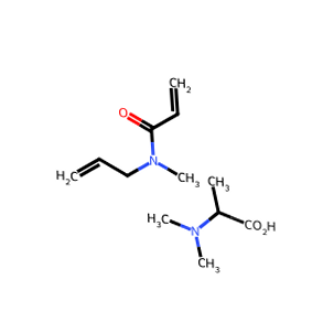 C=CCN(C)C(=O)C=C.CC(C(=O)O)N(C)C